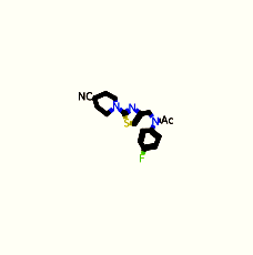 CC(=O)N(Cc1csc(N2CCC(C#N)CC2)n1)c1ccc(F)cc1